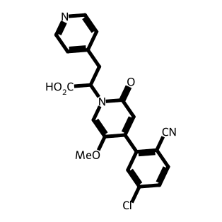 COc1cn(C(Cc2ccncc2)C(=O)O)c(=O)cc1-c1cc(Cl)ccc1C#N